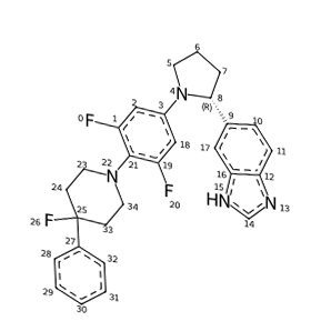 Fc1cc(N2CCC[C@@H]2c2ccc3nc[nH]c3c2)cc(F)c1N1CCC(F)(c2ccccc2)CC1